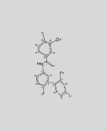 C=C(Nc1ccc(F)c(-c2ccc(C)cc2F)c1)c1ccc(C)c(Cl)c1